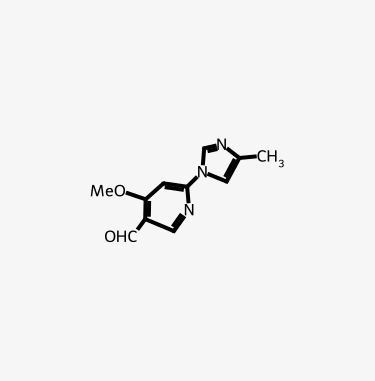 COc1cc(-n2cnc(C)c2)ncc1C=O